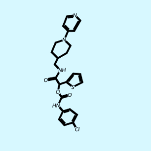 O=C(Nc1ccc(Cl)cc1)OC(C(=O)NCC1CCN(c2ccncc2)CC1)c1cccs1